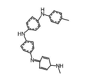 CNC1C=CC(=Nc2ccc(Nc3ccc(Nc4ccc(C)cc4)cc3)cc2)C=C1